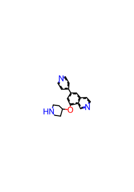 c1cc(-c2cc(OC3CCNCC3)c3cnccc3c2)ccn1